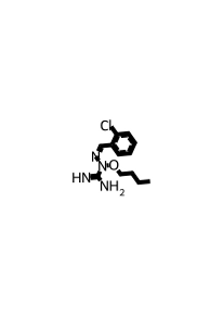 CCCCON(/N=C\c1ccccc1Cl)C(=N)N